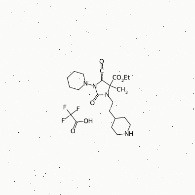 CCOC(=O)C1(C)C(=C=O)N(N2CCCCC2)C(=O)N1CCC1CCNCC1.O=C(O)C(F)(F)F